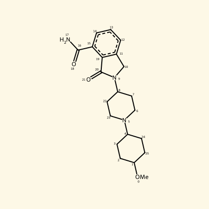 COC1CCC(N2CCC(N3Cc4cccc(C(N)=O)c4C3=O)CC2)CC1